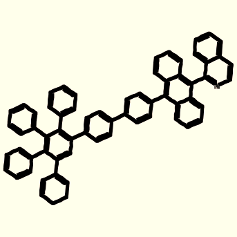 C1=CC(c2cc(-c3ccc(-c4ccc(-c5c6ccccc6c(-c6nccc7ccccc67)c6ccccc56)cc4)cc3)c(-c3ccccc3)c(-c3ccccc3)c2-c2ccccc2)=CCC1